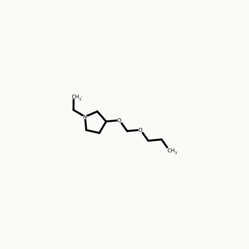 [CH2]CN1CCC(OCOCCC)C1